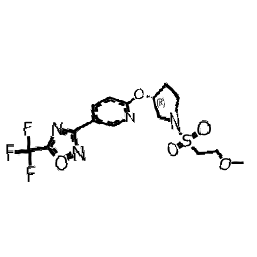 COCCS(=O)(=O)N1CC[C@@H](Oc2ccc(-c3noc(C(F)(F)F)n3)cn2)C1